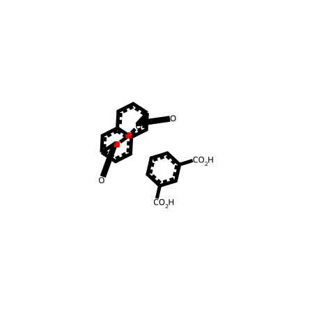 O=C(O)c1cccc(C(=O)O)c1.O=C1OCCOC(=O)c2ccc3cc1ccc3c2